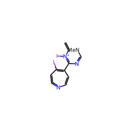 C=C/[N+](I)=C(\N=C/NC)C1=C(I)C=C=NC=C1